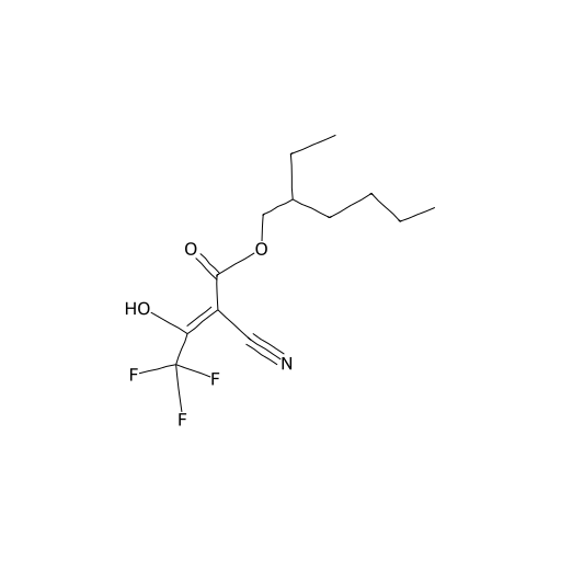 CCCCC(CC)COC(=O)/C(C#N)=C(\O)C(F)(F)F